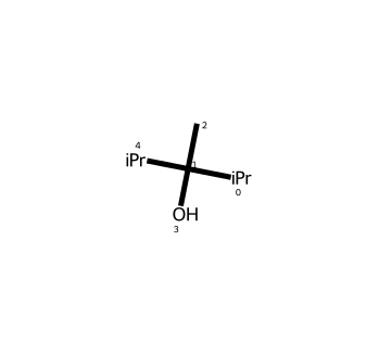 CC(C)C(C)(O)C(C)C